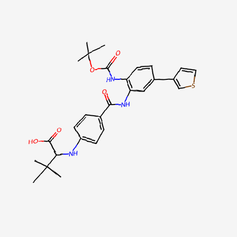 CC(C)(C)OC(=O)Nc1ccc(-c2ccsc2)cc1NC(=O)c1ccc(NC(C(=O)O)C(C)(C)C)cc1